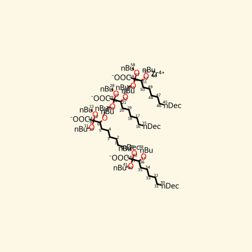 CCCCCCCCCCCCCCCC(OCCCC)C(OCCCC)(OCCCC)C(=O)[O-].CCCCCCCCCCCCCCCC(OCCCC)C(OCCCC)(OCCCC)C(=O)[O-].CCCCCCCCCCCCCCCC(OCCCC)C(OCCCC)(OCCCC)C(=O)[O-].CCCCCCCCCCCCCCCC(OCCCC)C(OCCCC)(OCCCC)C(=O)[O-].[Zr+4]